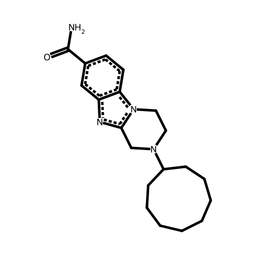 NC(=O)c1ccc2c(c1)nc1n2CCN(C2CCCCCCCC2)C1